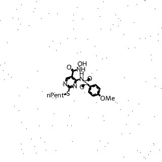 CCCCCSc1ncc(C(=O)NO)c(NS(=O)(=O)c2ccc(OC)cc2)n1